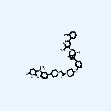 CN(c1cccc(C2CCN(CC(=O)N3CCC(Oc4cccc(C5C6C[C@H]7CN(c8cc(-c9ccccc9O)nnc8N)C[C@@H]6C57)c4)CC3)CC2)c1)C1CCC(=O)NC1=O